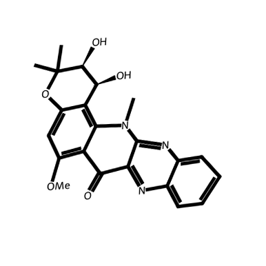 COc1cc2c(c3c1c(=O)c1nc4ccccc4nc1n3C)[C@H](O)[C@H](O)C(C)(C)O2